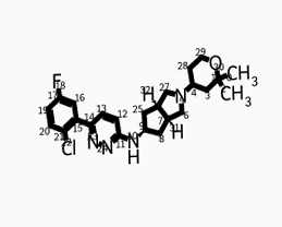 CC1(C)CC(N2C[C@H]3C[C@@H](Nc4ccc(-c5cc(F)ccc5Cl)nn4)C[C@H]3C2)CCO1